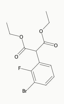 CCOC(=O)C(C(=O)OCC)c1cccc(Br)c1F